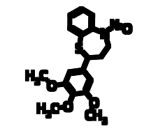 COc1cc(C2CCN(N=O)c3ccccc3S2)cc(OC)c1OC